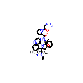 C=CNC(C(C)=O)(C(=O)O)C(Cc1ccccc1)(c1ccccc1)N(C(=O)[C@H](C)NC(=O)C1CCCN1C(=O)CN)c1cccnc1